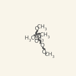 CCP(C)(CC)(CCOC)OC(=O)CCOCCOC